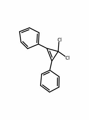 ClC1(Cl)C(c2ccccc2)=C1c1ccccc1